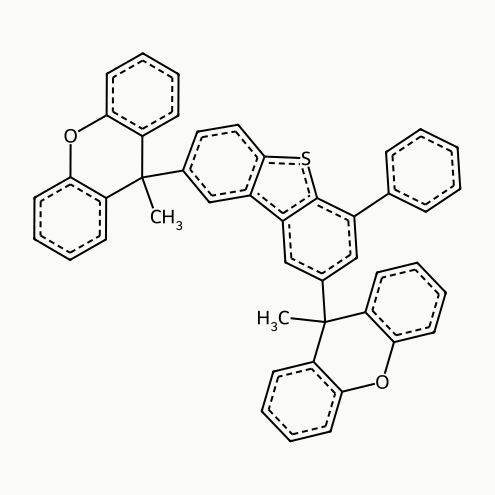 CC1(c2ccc3sc4c(-c5ccccc5)cc(C5(C)c6ccccc6Oc6ccccc65)cc4c3c2)c2ccccc2Oc2ccccc21